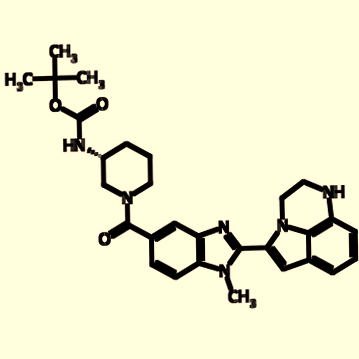 Cn1c(-c2cc3cccc4c3n2CCN4)nc2cc(C(=O)N3CCC[C@@H](NC(=O)OC(C)(C)C)C3)ccc21